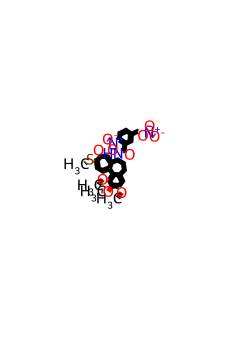 COc1cc2c(c(OC)c1OC)-c1ccc(SC)c(=O)cc1[C@@H](NC(=O)c1cc(CO[N+](=O)[O-])ccc1[N+](=O)[O-])CC2